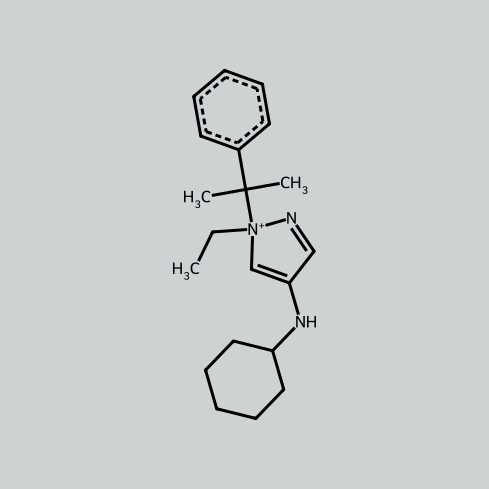 CC[N+]1(C(C)(C)c2ccccc2)C=C(NC2CCCCC2)C=N1